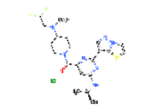 C[C@@H](Nc1cc(C(=O)N2CCC(N(CC(F)F)C(=O)O)CC2)nc(-c2cnn3ccsc23)n1)C(C)(C)C.Cl